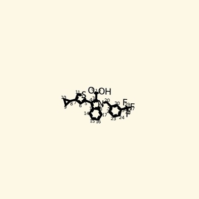 O=C(O)c1c(-c2cc(C3CC3)cs2)c2ccccc2n1Cc1cccc(C(F)(F)F)c1